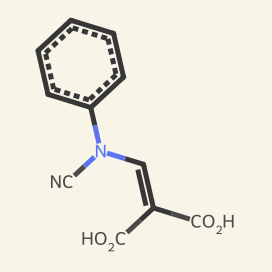 N#CN(C=C(C(=O)O)C(=O)O)c1ccccc1